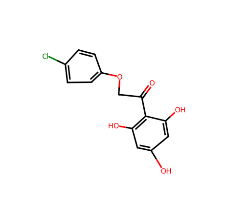 O=C(COc1ccc(Cl)cc1)c1c(O)cc(O)cc1O